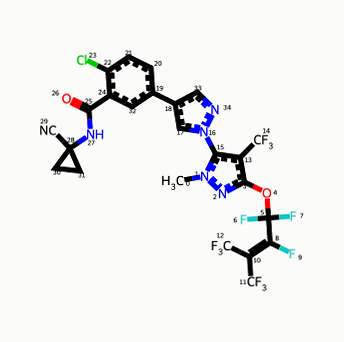 Cn1nc(OC(F)(F)C(F)=C(C(F)(F)F)C(F)(F)F)c(C(F)(F)F)c1-n1cc(-c2ccc(Cl)c(C(=O)NC3(C#N)CC3)c2)cn1